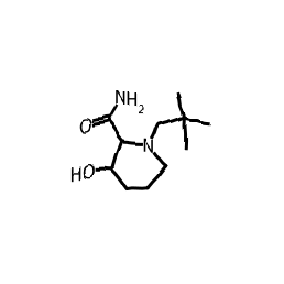 CC(C)(C)CN1CCCC(O)C1C(N)=O